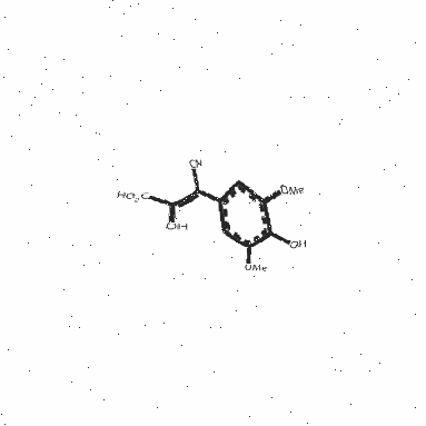 COc1cc(C(C#N)=C(O)C(=O)O)cc(OC)c1O